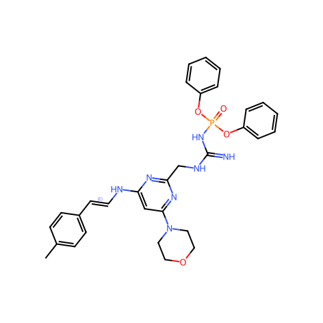 Cc1ccc(/C=C/Nc2cc(N3CCOCC3)nc(CNC(=N)NP(=O)(Oc3ccccc3)Oc3ccccc3)n2)cc1